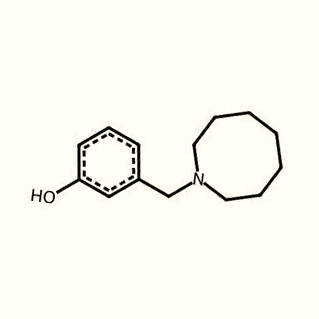 Oc1cccc(CN2CCCCCCC2)c1